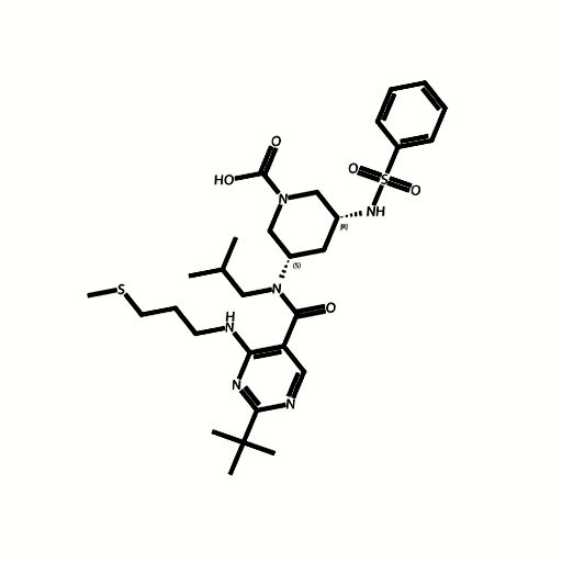 CSCCCNc1nc(C(C)(C)C)ncc1C(=O)N(CC(C)C)[C@H]1C[C@@H](NS(=O)(=O)c2ccccc2)CN(C(=O)O)C1